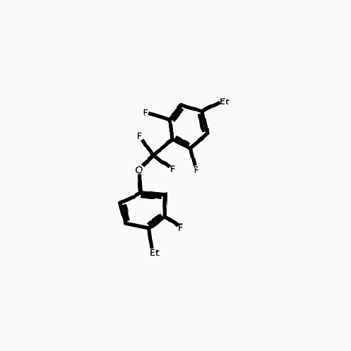 CCc1cc(F)c(C(F)(F)Oc2ccc(CC)c(F)c2)c(F)c1